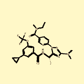 CCN(C)C(=O)c1ccc(-n2nc(N(C)C)nc2[C@H](C)NC(=O)c2cc(OC(F)(F)F)cc(C3CC3)c2)nc1